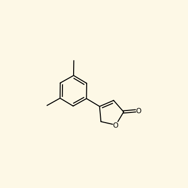 Cc1cc(C)cc(C2=CC(=O)OC2)c1